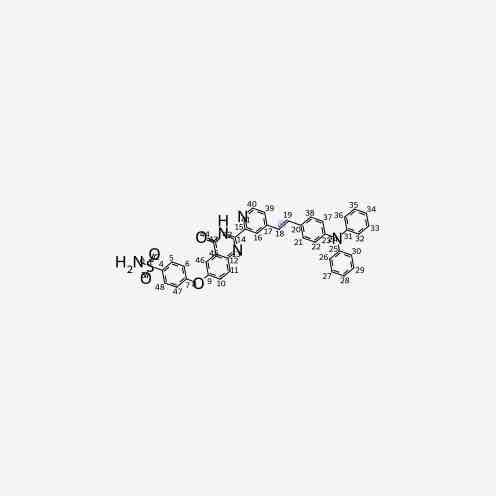 NS(=O)(=O)c1ccc(Oc2ccc3nc(-c4cc(/C=C/c5ccc(N(c6ccccc6)c6ccccc6)cc5)ccn4)[nH]c(=O)c3c2)cc1